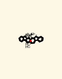 CCC[CH2][Ti](=[SiH2])([CH2]CCC)([c]1cccc2c1Cc1ccccc1-2)[c]1cccc2c1Cc1ccccc1-2.Cl.Cl